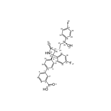 O=C(O)c1cccc(-c2ccc([C@@]3(c4ccc(F)cc4)NC(=O)[C@@H]3CC[C@H](O)c3ccc(F)cc3)cc2)c1